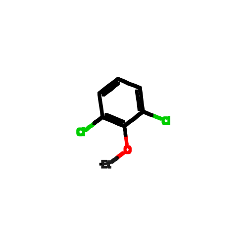 C[CH]Oc1c(Cl)cccc1Cl